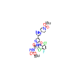 CC(Oc1cc(-c2cnn(C3CCN(C(=O)OC(C)(C)C)CC3)c2)cnc1NC(=O)CNC(=O)OC(C)(C)C)c1c(Cl)ccc(F)c1Cl